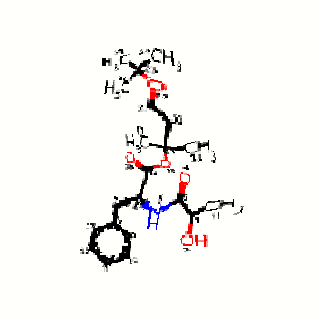 CC(O)C(=O)NC(Cc1ccccc1)C(=O)OC(C)(C)CCOC(C)(C)C